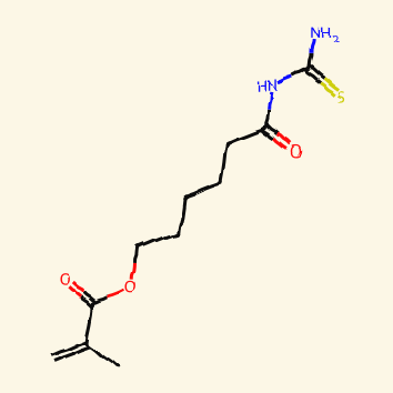 C=C(C)C(=O)OCCCCCC(=O)NC(N)=S